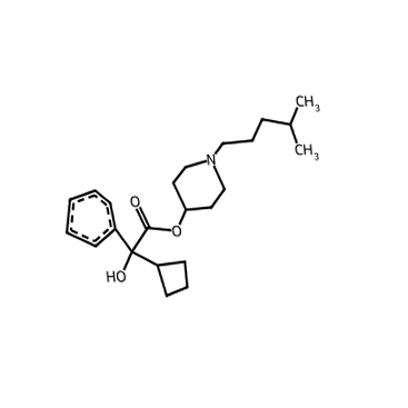 CC(C)CCCN1CCC(OC(=O)C(O)(c2ccccc2)C2CCC2)CC1